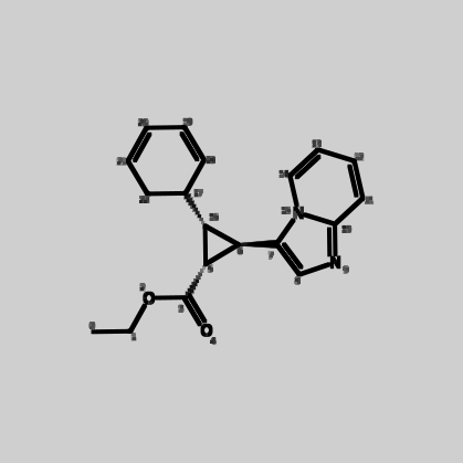 CCOC(=O)[C@H]1[C@H](c2cnc3ccccn23)[C@H]1C1C=CC=CC1